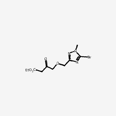 CCOC(=O)CC(=O)COCc1nc(Br)n(C)n1